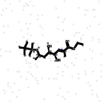 CCOC(=O)/C(C)=C/[C@@H](O)[C@H](O)C[C@@H](C)O[Si](C)(C)C(C)(C)C